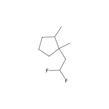 CC1CCCC1(C)CC(F)F